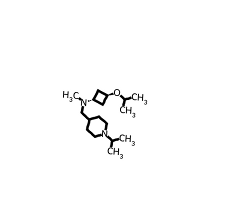 CC(C)O[C@H]1C[C@H](N(C)CC2CCN(C(C)C)CC2)C1